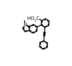 Cn1ccc2ccc(-c3c(C#Cc4ccccc4)cccc3C(=O)O)cc21